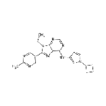 CCn1c(-c2cnc(C)nc2)nc2c(Nc3ccn(C4CCC4)c3)ncnc21